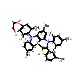 Cc1cc(C(C)(C)C)cc(C)c1N1c2cc(C(C)(C)C)cc3c2B(c2cc(C(C)(C)C)ccc2N3c2c(C)cc3c(c2C)OCCO3)c2sc3ccc(C(C)(C)C)cc3c21